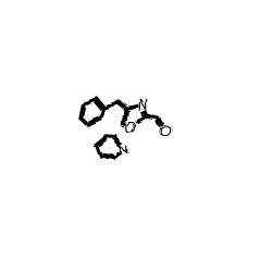 O=Cc1nc(Cc2ccccc2)co1.c1ccncc1